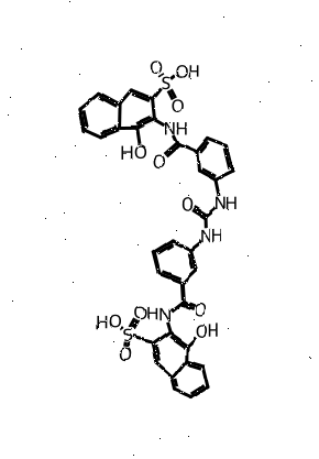 O=C(Nc1cccc(C(=O)Nc2c(S(=O)(=O)O)cc3ccccc3c2O)c1)Nc1cccc(C(=O)Nc2c(S(=O)(=O)O)cc3ccccc3c2O)c1